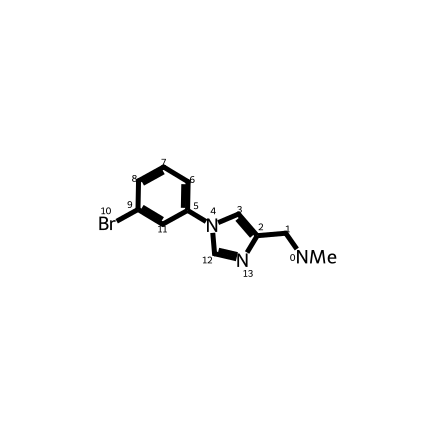 CNCc1cn(-c2cccc(Br)c2)cn1